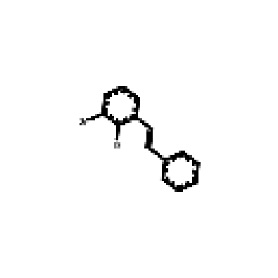 Brc1cccc(/C=C/c2ccccc2)c1Br